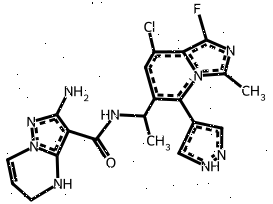 Cc1nc(F)c2c(Cl)cc(C(C)NC(=O)c3c(N)nn4c3NCC=C4)c(-c3cn[nH]c3)n12